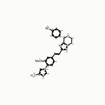 COc1cc(/C=C/c2nc3n(n2)CCO[C@H]3c2ccc(C#N)cc2)ccc1-n1cnc(C)c1